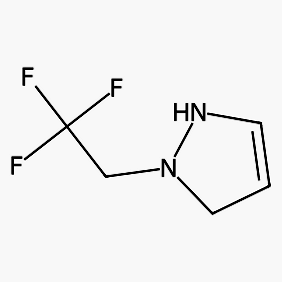 FC(F)(F)CN1CC=CN1